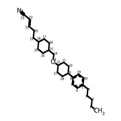 CCCCCc1ccc(C2CCC(OCC3CCC(CCC=CC#N)CC3)CC2)cc1